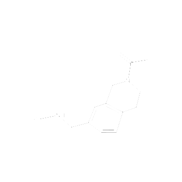 CC(=O)N1CCc2ccc(CNCl)cc2C1